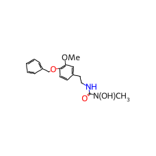 COc1cc(CCNC(=O)N(C)O)ccc1OCc1ccccc1